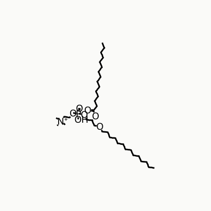 CCCCCCCCCCCCCCOCC(COP(=O)(O)OCC[N+](C)(C)C)OC(=O)CCCCCCCCCCCCCC